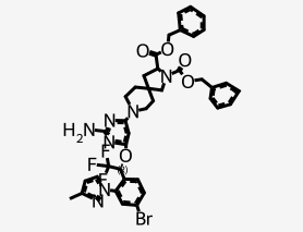 Cc1ccn(-c2cc(Br)ccc2[C@@H](Oc2cc(N3CCC4(CC3)CC(C(=O)OCc3ccccc3)N(C(=O)OCc3ccccc3)C4)nc(N)n2)C(F)(F)F)n1